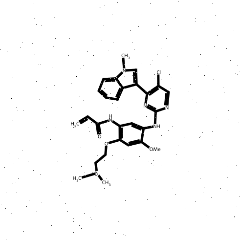 C=CC(=O)Nc1cc(Nc2ncc(Cl)c(-c3cn(C)c4ccccc34)n2)c(OC)cc1OCCN(C)C